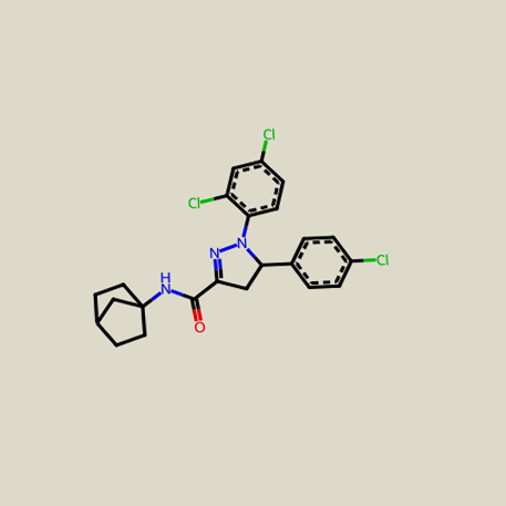 O=C(NC12CCC(CC1)C2)C1=NN(c2ccc(Cl)cc2Cl)C(c2ccc(Cl)cc2)C1